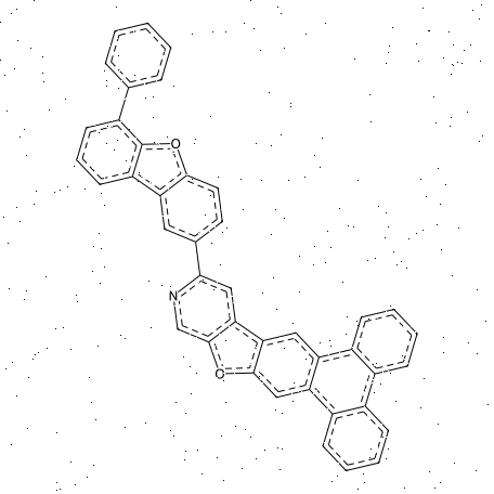 c1ccc(-c2cccc3c2oc2ccc(-c4cc5c(cn4)oc4cc6c7ccccc7c7ccccc7c6cc45)cc23)cc1